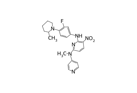 CC1CCCCN1c1ccc(Nc2nc(N(C)c3ccncc3)ccc2[N+](=O)[O-])cc1F